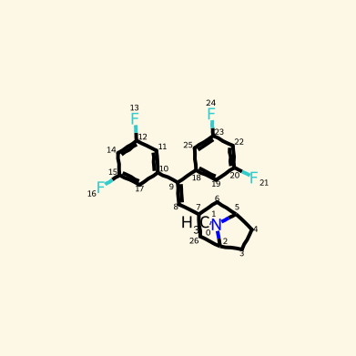 CN1C2CCC1CC(C=C(c1cc(F)cc(F)c1)c1cc(F)cc(F)c1)C2